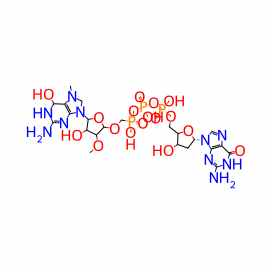 COC1C(OCP(=O)(O)OP(=O)(O)OP(=O)(O)OCC2O[C@H](n3cnc4c(=O)[nH]c(N)nc43)CC2O)OC(N2CN(C)C3=C2N=C(N)NC3O)C1O